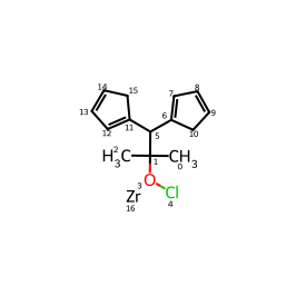 CC(C)(OCl)C(C1=CC=CC1)C1=CC=CC1.[Zr]